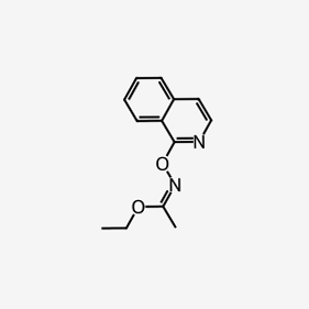 CCOC(C)=NOc1nccc2ccccc12